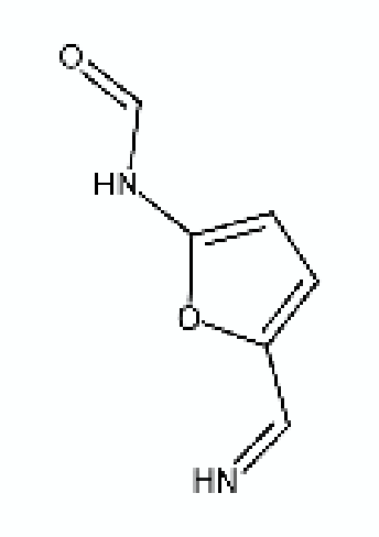 N=Cc1ccc(NC=O)o1